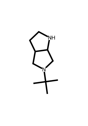 CC(C)(C)N1CC2CCNC2C1